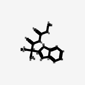 CC(C)(C)OC(=O)OC(=O)[C@@](C)(N)c1nc2ccccc2s1